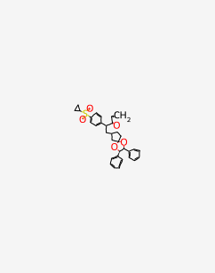 C=CC(=O)C(CC1CCC2(C1)OC(c1ccccc1)[C@@H](c1ccccc1)O2)c1ccc(S(=O)(=O)C2CC2)cc1